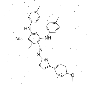 COC1C=CC(c2csc(N=Nc3c(Nc4ccc(C)cc4)nc(Nc4ccc(C)cc4)c(C#N)c3C)n2)=CC1